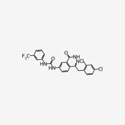 O=C(Nc1cccc(C(F)(F)F)c1)Nc1ccc2c(Cc3ccc(Cl)cc3Cl)n[nH]c(=O)c2c1